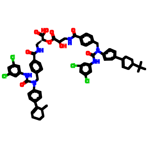 CC1CCCC=C1c1ccc(N(Cc2ccc(C(=O)NC[C@@H](OC(=O)[C@H](O)CNC(=O)c3ccc(CN(C(=O)Nc4cc(Cl)cc(Cl)c4)c4ccc(C5=CCC(C(C)(C)C)CC5)cc4)cc3)C(=O)O)cc2)C(=O)Nc2cc(Cl)cc(Cl)c2)cc1